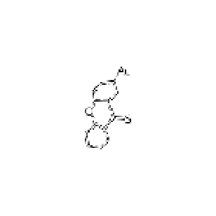 CC(=O)c1ccc2oc3ccccc3c(=S)c2c1